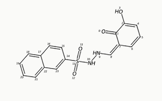 O=C1C(O)=CC=CC1=CNNS(=O)(=O)c1ccc2ccccc2c1